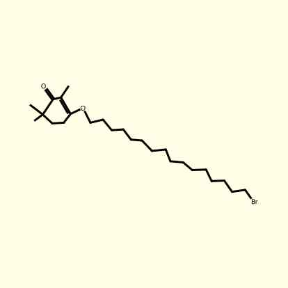 CC1=C(OCCCCCCCCCCCCCCCCBr)CCC(C)(C)C1=O